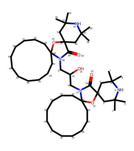 CC1(C)CC2(CC(C)(C)N1)OC1(CCCCCCCCCCC1)N(CC(O)CN1C(=O)C3(CC(C)(C)NC(C)(C)C3)OC13CCCCCCCCCCC3)C2=O